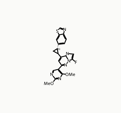 COc1ncc(-c2cc(C3C[C@@H]3c3ccc4ncsc4c3)c3ncc(F)n3n2)c(OC)n1